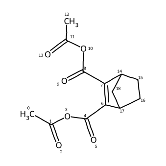 CC(=O)OC(=O)C1=C(C(=O)OC(C)=O)C2CCC1C2